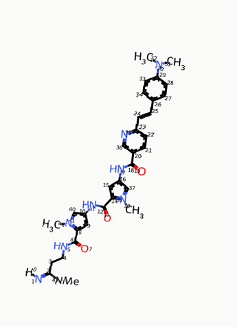 [H]/N=C(\CCNC(=O)c1cc(NC(=O)c2cc(NC(=O)c3ccc(C=Cc4ccc(N(C)C)cc4)nc3)cn2C)cn1C)NC